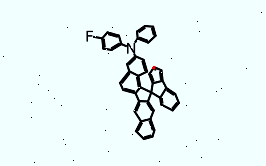 Fc1ccc(N(c2ccccc2)c2ccc3c4c(ccc3c2)-c2cc3ccccc3cc2C42c3ccccc3-c3ccccc32)cc1